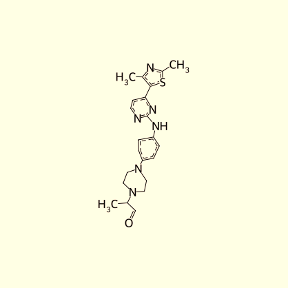 Cc1nc(C)c(-c2ccnc(Nc3ccc(N4CCN(C(C)C=O)CC4)cc3)n2)s1